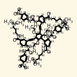 CCOc1c(C#Cc2cc(C(=O)NCCCN(C)C)ccc2NC(=O)Nc2ccc([N+](=O)[O-])cc2)c(OCC)c(-c2cc(C(=O)NCCCN(C)C)ccc2NC(=O)Nc2ccc([N+](=O)[O-])cc2)c(OCC)c1C#Cc1cc(C(=O)NCCCN(C)C)ccc1NC(=O)Nc1ccc([N+](=O)[O-])cc1